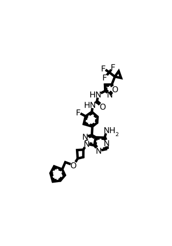 Nc1ncnc2c1c(-c1ccc(NC(=O)Nc3cc(C4(C(F)(F)F)CC4)on3)c(F)c1)nn2C1CC(OCc2ccccc2)C1